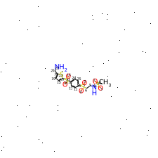 CS(=O)(=O)NCCS(=O)(=O)c1ccc(S(=O)(=O)c2ccc(CN)s2)cc1